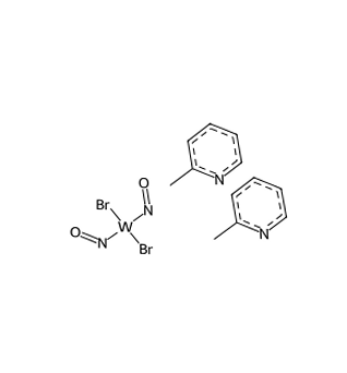 Cc1ccccn1.Cc1ccccn1.O=[N][W]([Br])([Br])[N]=O